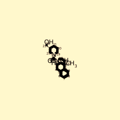 CC1(C)[C@H]2Cc3ccccc3[C@]1(C)CCN2C(=O)N1CCC[C@@H](CO)C1